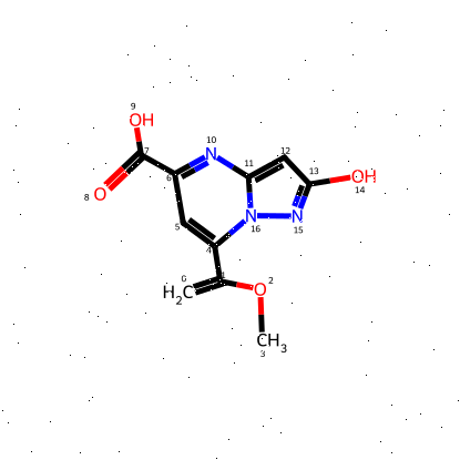 C=C(OC)c1cc(C(=O)O)nc2cc(O)nn12